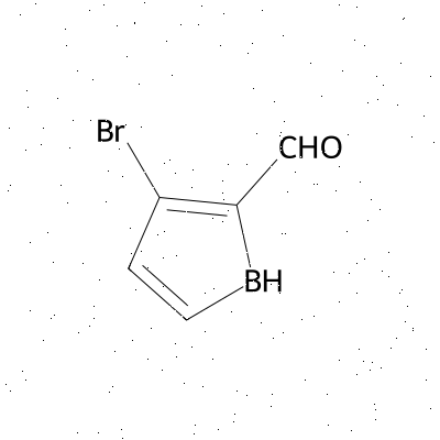 O=CC1=C(Br)C=CB1